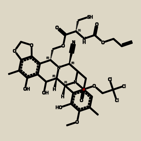 C=CCOC(=O)N[C@@H](CS)C(=O)OC[C@H]1c2c3c(c(C)c(O)c2C(O)[C@H]2[C@H]4c5c(cc(C)c(OC)c5O)CC([C@H](C#N)N12)N4C(=O)OCC(Cl)(Cl)Cl)OCO3